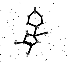 [2H]C1=C([2H])OC(O)(N2CCNCC2)N1